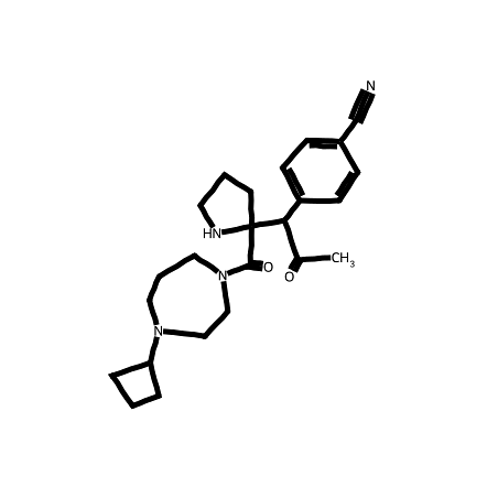 CC(=O)C(c1ccc(C#N)cc1)C1(C(=O)N2CCCN(C3CCC3)CC2)CCCN1